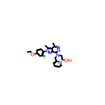 CCOc1ccc(-n2nc3c(N(CCO)Cc4ccccn4)nnc(C)c3c2C)c(F)c1